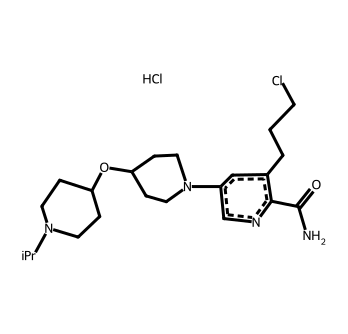 CC(C)N1CCC(OC2CCN(c3cnc(C(N)=O)c(CCCCl)c3)CC2)CC1.Cl